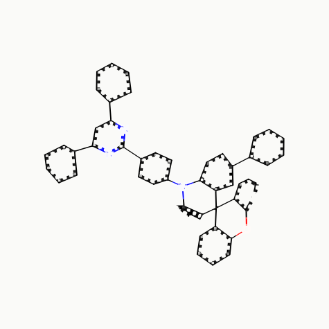 c1ccc(-c2ccc3c(c2)C2(c4ccccc4Oc4ccccc42)c2ccccc2N3c2ccc(-c3nc(-c4ccccc4)cc(-c4ccccc4)n3)cc2)cc1